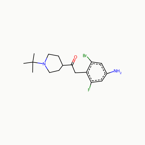 CC(C)(C)N1CCC(C(=O)Cc2c(F)cc(N)cc2Br)CC1